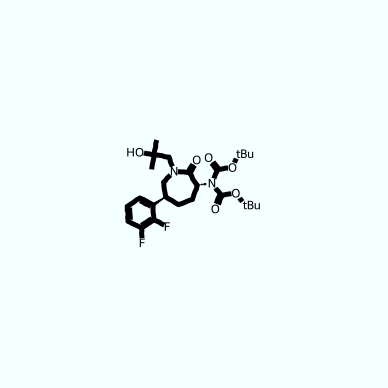 CC(C)(O)CN1C[C@H](c2cccc(F)c2F)CC[C@@H](N(C(=O)OC(C)(C)C)C(=O)OC(C)(C)C)C1=O